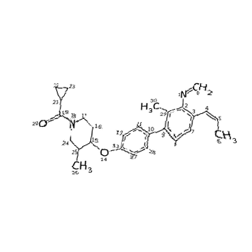 C=Nc1c(/C=C\C)ccc(-c2ccc(OC3CCN(C(=O)C4CC4)CC3C)cc2)c1C